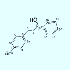 O[C@H](CCc1ccc(Br)cc1)c1ccccc1